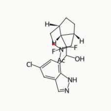 CC(=O)N1CC[C@@H]2CC[C@H](C1)[C@@H]2C(F)(F)C(O)c1cc(Cl)cc2cn[nH]c12